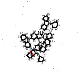 c1ccc(N(c2ccccc2)c2ccc3c4ccccc4n(Cc4nc(N(c5ccccc5)c5ccc6c7ccccc7n(-c7ccccc7)c6c5)nc5ccc(-n6c7ccccc7c7ccc(N(c8ccccc8)c8ccccc8)cc76)cc45)c3c2)cc1